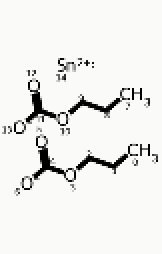 CCCOC(=O)[O-].CCCOC(=O)[O-].[Sn+2]